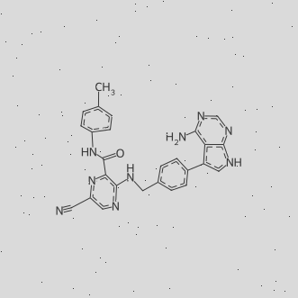 Cc1ccc(NC(=O)c2nc(C#N)cnc2NCc2ccc(-c3c[nH]c4ncnc(N)c34)cc2)cc1